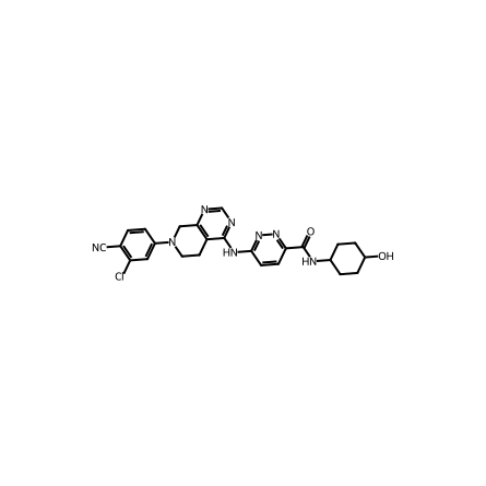 N#Cc1ccc(N2CCc3c(ncnc3Nc3ccc(C(=O)NC4CCC(O)CC4)nn3)C2)cc1Cl